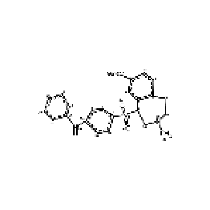 COc1ccc2c(c1)C(S(=O)(=O)c1ccc(Nc3ccccc3)cc1)CN(C)CC2